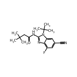 CC(C)(C)CC(=O)Nc1nc2c(F)cc(C#N)cc2n1C(C)(C)C